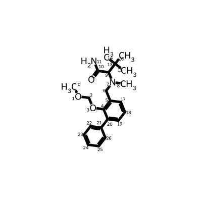 COCOc1c(CN(C)C(C(N)=O)C(C)(C)C)cccc1-c1ccccc1